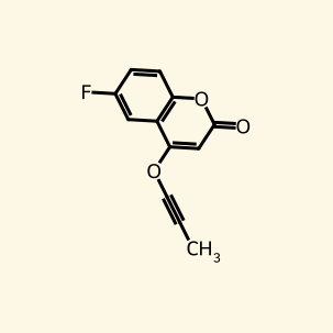 CC#COc1cc(=O)oc2ccc(F)cc12